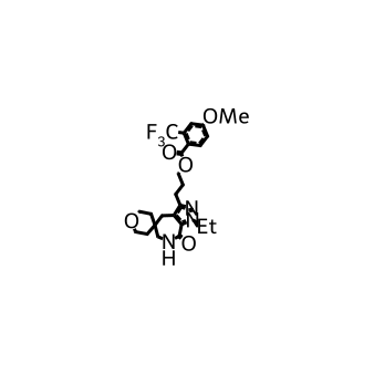 CCn1nc(CCCOC(=O)c2ccc(OC)cc2C(F)(F)F)c2c1C(=O)NCC1(CCOCC1)C2